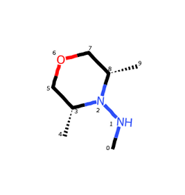 CNN1[C@H](C)COC[C@@H]1C